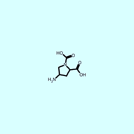 NC1CC(C(=O)O)N(C(=O)O)C1